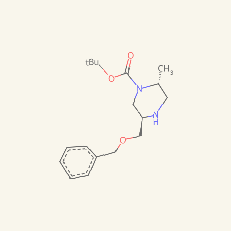 C[C@@H]1CN[C@@H](COCc2ccccc2)CN1C(=O)OC(C)(C)C